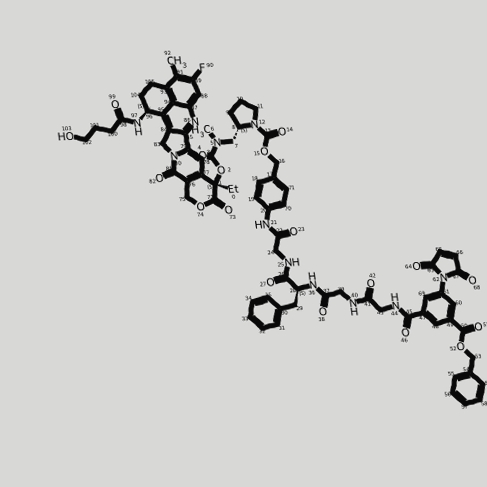 CC[C@@]1(OC(=O)N(C)C[C@@H]2CCCN2C(=O)OCc2ccc(NC(=O)CNC(=O)[C@H](Cc3ccccc3)NC(=O)CNC(=O)CNC(=O)c3cc(C(=O)OCc4ccccc4)cc(N4C(=O)C=CC4=O)c3)cc2)C(=O)OCc2c1cc1n(c2=O)Cc2c-1nc1cc(F)c(C)c3c1c2[C@@H](NC(=O)CCCO)CC3